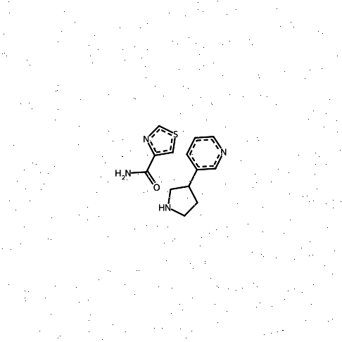 NC(=O)c1cscn1.c1cncc(C2CCNC2)c1